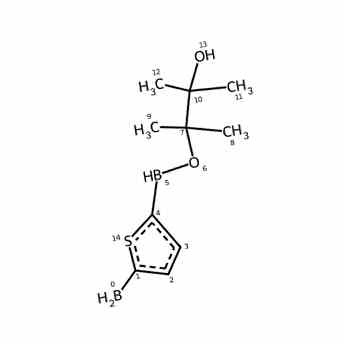 Bc1ccc(BOC(C)(C)C(C)(C)O)s1